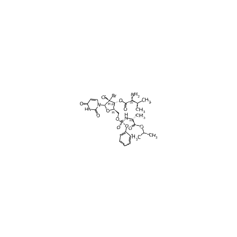 CC(C)OC(=O)[C@@H](C)N[P@](=O)(OC[C@H]1OC(n2ccc(=O)[nH]c2=O)[C@](Cl)(Br)[C@@H]1OC(=O)[C@@H](N)C(C)C)Oc1ccccc1